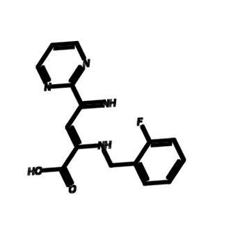 N=C(/C=C(\NCc1ccccc1F)C(=O)O)c1ncccn1